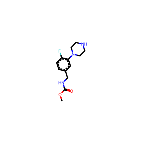 COC(=O)NCc1ccc(F)c(N2CCNCC2)c1